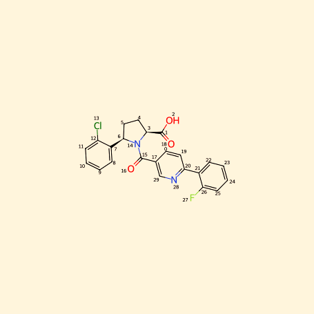 O=C(O)[C@@H]1CC[C@H](c2ccccc2Cl)N1C(=O)c1ccc(-c2ccccc2F)nc1